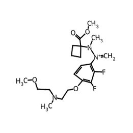 C=[N+](c1ccc(OCCN(C)CCOC)c(F)c1F)N(C)C1(C(=O)OC)CCC1